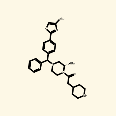 CC(C)(C)c1csc(-c2ccc(C(c3ccccc3)N3CCN(C(=O)CC4CCNCC4)[C@@H](C(C)(C)C)C3)cc2)n1